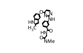 CNC(=O)CNC(=O)c1cccc(Nc2nccc(Oc3ccc4[nH]c(C)cc4c3)n2)c1